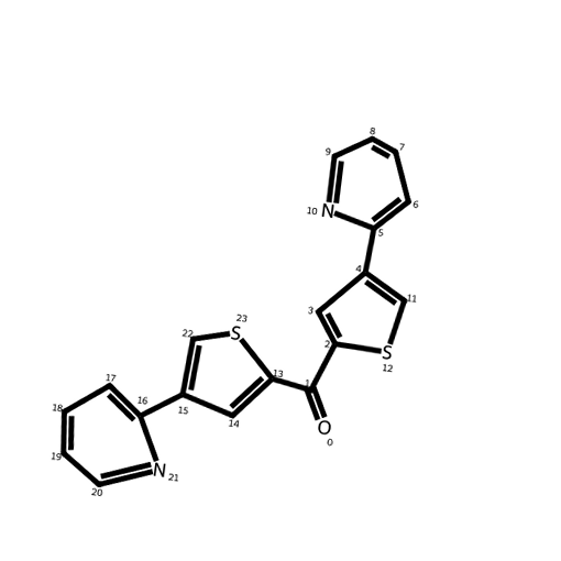 O=C(c1cc(-c2ccccn2)cs1)c1cc(-c2ccccn2)cs1